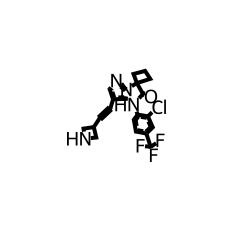 O=C(Nc1ccc(C(F)(F)F)cc1Cl)C1(n2cc(C#CC3CNC3)cn2)CCC1